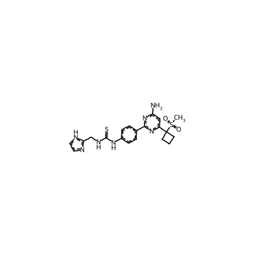 CS(=O)(=O)C1(c2cc(N)nc(-c3ccc(NC(=S)NCc4ncc[nH]4)cc3)n2)CCC1